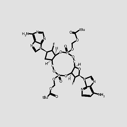 CC(C)(C)C(=O)OCOP1(=O)OC[C@H]2O[C@@H](n3cnc4c(N)ccnc43)C(F)[C@H]2OP(=O)(OCOC(=O)C(C)(C)C)OC[C@H]2C[C@@H](n3cnc4c(N)ncnc43)C(F)[C@H]2O1